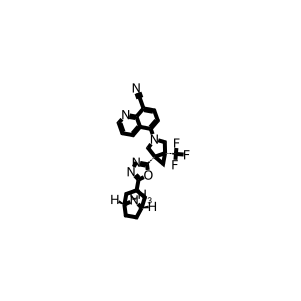 CN1[C@@H]2CC[C@H]1CC(c1nnc([C@]34CN(c5ccc(C#N)c6ncccc56)C[C@@]3(C(F)(F)F)C4)o1)C2